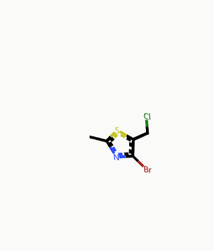 Cc1nc(Br)c(CCl)s1